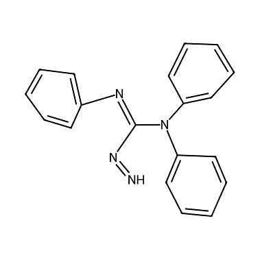 N=NC(=Nc1ccccc1)N(c1ccccc1)c1ccccc1